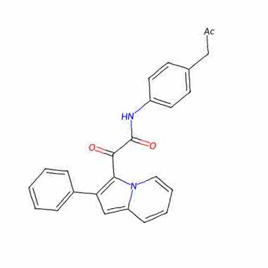 CC(=O)Cc1ccc(NC(=O)C(=O)c2c(-c3ccccc3)cc3ccccn23)cc1